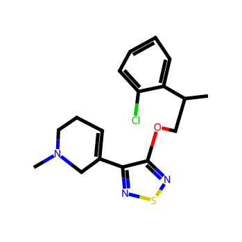 CC(COc1nsnc1C1=CCCN(C)C1)c1ccccc1Cl